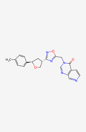 Cc1ccc([C@H]2C[C@H](c3noc(Cn4cnc5cnccc5c4=O)n3)CO2)cc1